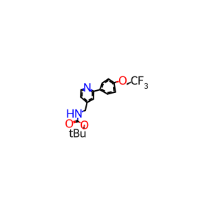 CC(C)(C)OC(=O)NCc1ccnc(-c2ccc(OCC(F)(F)F)cc2)c1